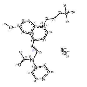 COc1ccc2c(c1)c(/C=C/N(C(C)=O)c1ccccc1)cc[n+]2CCC[N+](C)(C)C.[Br-].[Br-]